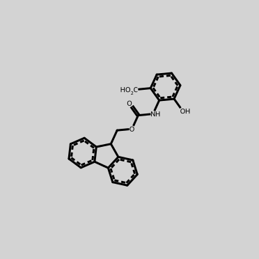 O=C(Nc1c(O)cccc1C(=O)O)OCC1c2ccccc2-c2ccccc21